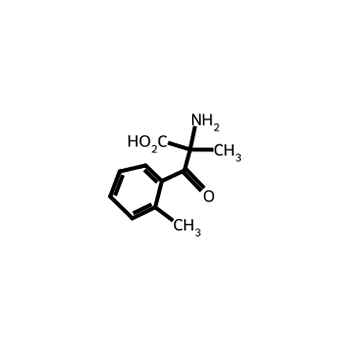 Cc1ccccc1C(=O)C(C)(N)C(=O)O